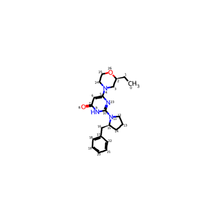 CC[C@H]1CN(c2cc(=O)[nH]c(N3CCC[C@H]3Cc3ccccc3)n2)CCO1